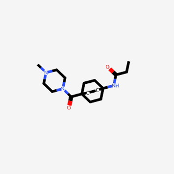 CCC(=O)NC12CCC(C(=O)N3CCN(C)CC3)(CC1)CC2